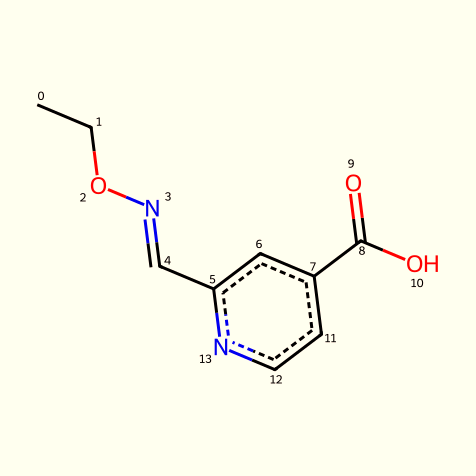 CCON=Cc1cc(C(=O)O)ccn1